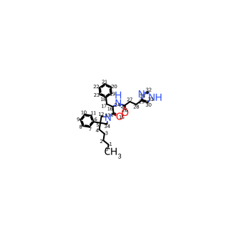 CCCCCC1(c2ccccc2)CN(C(=O)C(Cc2ccccc2)NC(=O)CCc2c[nH]cn2)C1